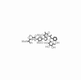 CCC(C)C(C(CC(=O)N1CCCC1C(OC)C(C)C(=O)NC(C)C(OC1OC(CO)C(O)C(O)C1O)c1ccccc1)OC)N(C)C(=O)C(NC(=O)C(NC)C(C)C)C(C)C